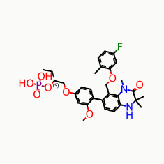 CC[C@@H](COc1ccc(-c2ccc3c(c2COc2cc(F)ccc2C)N(C)C(=O)C(C)(C)N3)c(OC)c1)OP(=O)(O)O